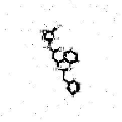 O=C(CC(NC(=O)Cc1ccccc1)c1ccccc1)Nc1n[nH]c(=S)s1